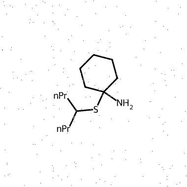 CCCC(CCC)SC1(N)CCCCC1